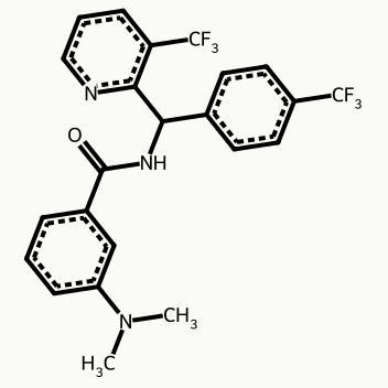 CN(C)c1cccc(C(=O)NC(c2ccc(C(F)(F)F)cc2)c2ncccc2C(F)(F)F)c1